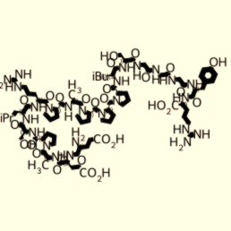 CC[C@H](C)[C@H](NC(=O)[C@@H]1CCCN1C(=O)[C@@H]1CCCN1C(=O)[C@@H]1CCCN1C(=O)[C@H](C)NC(=O)[C@@H]1CCCN1C(=O)[C@H](CCCNC(=N)N)NC(=O)[C@H](CC(C)C)NC(=O)[C@H](CO)NC(=O)[C@@H]1CCCN1C(=O)[C@H](C)NC(=O)[C@H](CCC(=O)O)NC(=O)[C@@H](N)CCC(=O)O)C(=O)N[C@@H](CO)C(=O)NCC(=O)NCC(=O)NCC(=O)N[C@@H](Cc1ccc(O)cc1)C(=O)N[C@@H](CCCNC(=N)N)C(=O)O